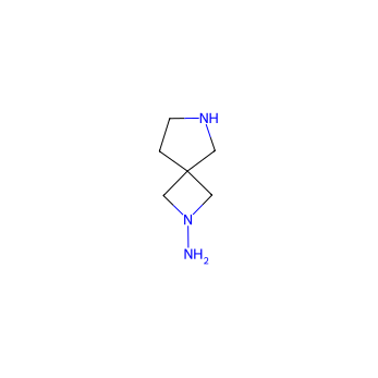 NN1CC2(CCNC2)C1